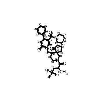 CC(CC(F)(F)F)C(=O)N1CC[C@@](O)(Cn2cc(C(=O)N3CCOCC3)c(-c3ccccc3)cc2=O)C2(CCCC2)C1